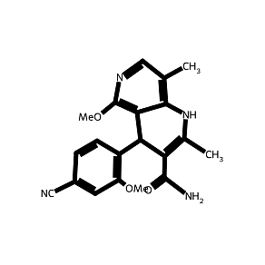 COc1cc(C#N)ccc1C1C(C(N)=O)=C(C)Nc2c(C)cnc(OC)c21